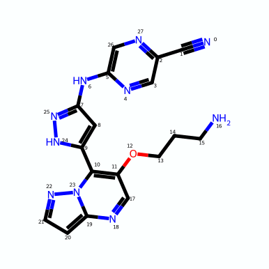 N#Cc1cnc(Nc2cc(-c3c(OCCCN)cnc4ccnn34)[nH]n2)cn1